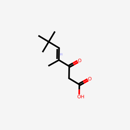 C/C(=C\C(C)(C)C)C(=O)CC(=O)O